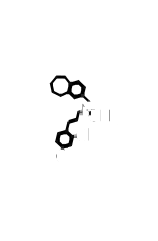 CN(C/C=C/c1ccc(Cl)cc1Cl)Cc1ccc2c(c1)CCCCC2